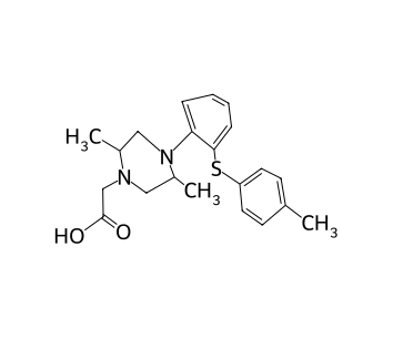 Cc1ccc(Sc2ccccc2N2CC(C)N(CC(=O)O)CC2C)cc1